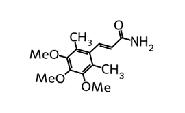 COc1c(C)c(C=CC(N)=O)c(C)c(OC)c1OC